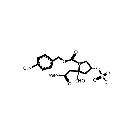 CNC(=O)C[C@@]1(C=O)C[C@@H](OS(C)(=O)=O)CN1C(=O)OCc1ccc([N+](=O)[O-])cc1